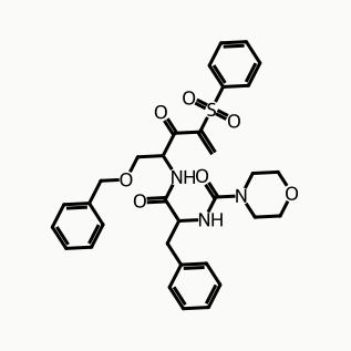 C=C(C(=O)C(COCc1ccccc1)NC(=O)C(Cc1ccccc1)NC(=O)N1CCOCC1)S(=O)(=O)c1ccccc1